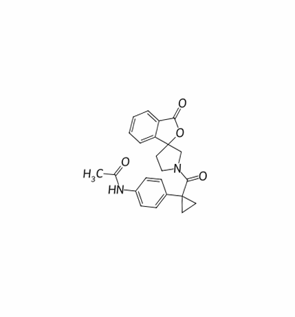 CC(=O)Nc1ccc(C2(C(=O)N3CCC4(C3)OC(=O)c3ccccc34)CC2)cc1